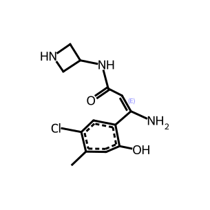 Cc1cc(O)c(/C(N)=C\C(=O)NC2CNC2)cc1Cl